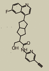 C#Cc1ccc(NC(=O)C(CO)C2CC3CC(c4ccnc5ccc(F)cc45)CC3C2)nc1